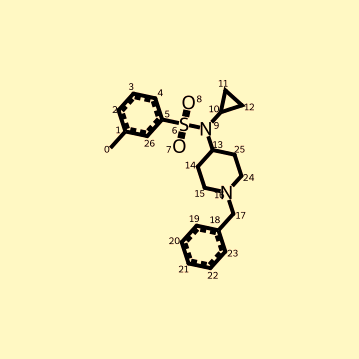 Cc1cccc(S(=O)(=O)N(C2CC2)C2CCN(Cc3ccccc3)CC2)c1